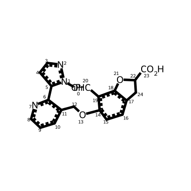 CC(C)n1nccc1-c1ncccc1COc1ccc2c(c1C=O)OC(C(=O)O)C2